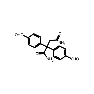 NC(=O)CC(C(N)=O)(c1ccc(C=O)cc1)c1ccc(C=O)cc1